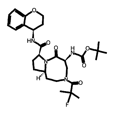 CC(C)(C)OC(=O)N[C@H]1CN(C(=O)C(C)(C)F)CC[C@H]2CC[C@@H](C(=O)N[C@@H]3CCOc4ccccc43)N2C1=O